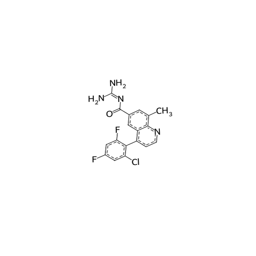 Cc1cc(C(=O)N=C(N)N)cc2c(-c3c(F)cc(F)cc3Cl)ccnc12